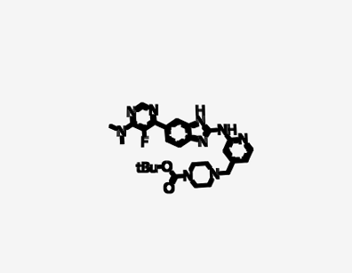 CN(C)c1ncnc(-c2ccc3nc(Nc4cc(CN5CCN(C(=O)OC(C)(C)C)CC5)ccn4)[nH]c3c2)c1F